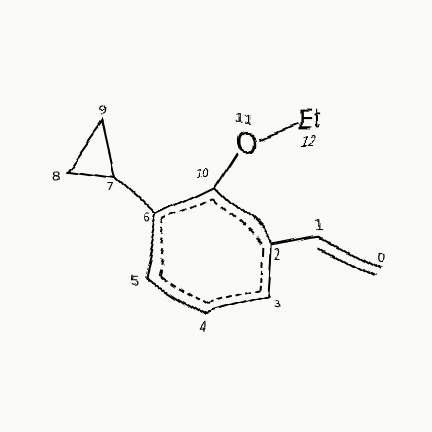 C=Cc1cccc(C2CC2)c1OCC